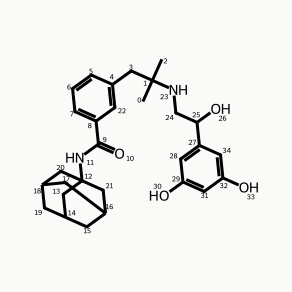 CC(C)(Cc1cccc(C(=O)NC23CC4CC(CC(C4)C2)C3)c1)NCC(O)c1cc(O)cc(O)c1